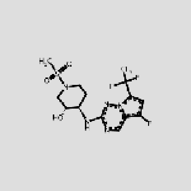 CS(=O)(=O)N1CC[C@@H](Nc2ncc3c(F)cc(C(F)(F)C(F)(F)F)n3n2)[C@H](O)C1